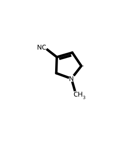 CN1[CH]C=C(C#N)C1